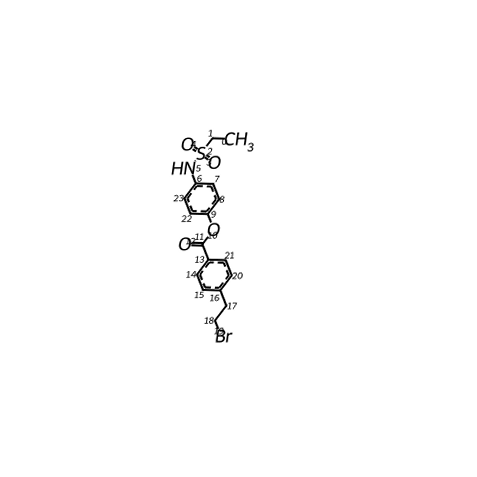 CCS(=O)(=O)Nc1ccc(OC(=O)c2ccc(CCBr)cc2)cc1